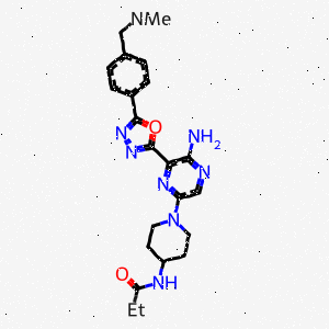 CCC(=O)NC1CCN(c2cnc(N)c(-c3nnc(-c4ccc(CNC)cc4)o3)n2)CC1